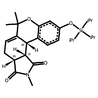 CC(C)[Si](Oc1ccc2c(c1)OC(C)(C)C1=CC[C@H]3C(=O)N(C)C(=O)[C@H]3[C@H]12)(C(C)C)C(C)C